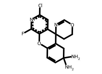 NC1(N)C=CC2=C(C1)C1(CCOC=N1)c1cc(Cl)nc(F)c1O2